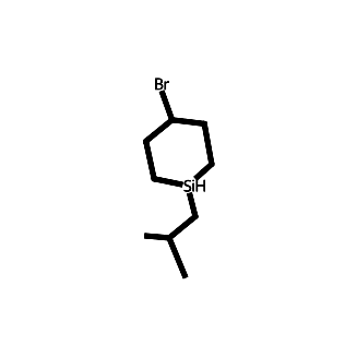 CC(C)C[SiH]1CCC(Br)CC1